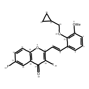 COc1cccc(/C=C/c2oc3ccc(F)cc3c(=O)c2I)c1OCC1CC1